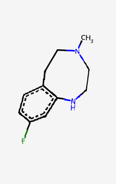 CN1CCNc2cc(F)ccc2CC1